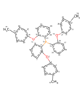 Cc1ccc(Oc2ccccc2P(c2ccccc2Oc2ccc(C)cc2)c2ccccc2Oc2ccc(C)cc2)cc1